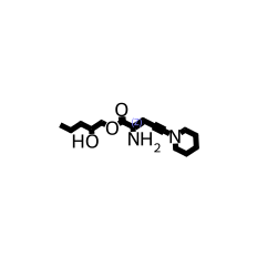 CCCC(O)COC(=O)/C(N)=C/C#CN1CCCCC1